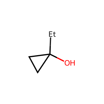 [C]CC1(O)CC1